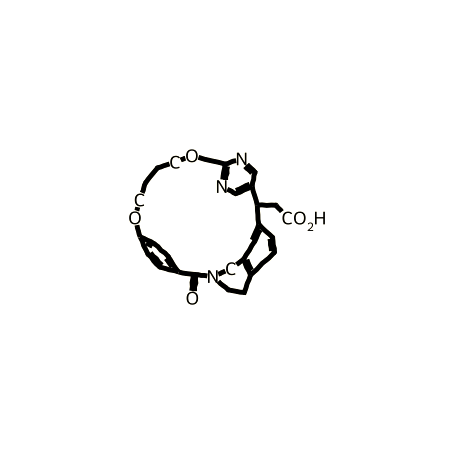 O=C(O)CC1c2cnc(nc2)OCCCCOc2ccc(cc2)C(=O)N2CCc3ccc1cc3C2